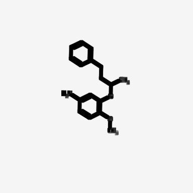 COc1ccc(N)cc1OC(C)CCc1ccccc1